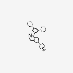 CS1(C)CCC(c2ccc3c(-c4cc(C5CCCCC5)cc(C5CCCCC5)c4)nccc3c2)CC1